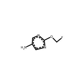 Nc1cnc(OCF)nc1